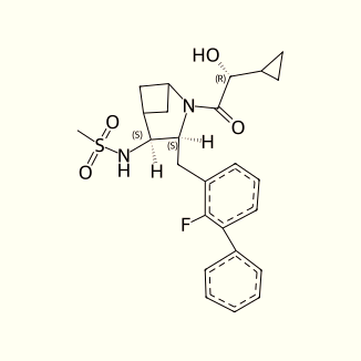 CS(=O)(=O)N[C@H]1C2CC(C2)N(C(=O)[C@H](O)C2CC2)[C@H]1Cc1cccc(-c2ccccc2)c1F